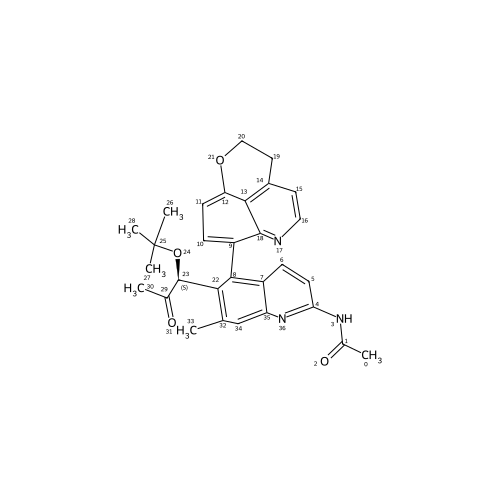 CC(=O)Nc1ccc2c(-c3ccc4c5c(ccnc35)CCO4)c([C@H](OC(C)(C)C)C(C)=O)c(C)cc2n1